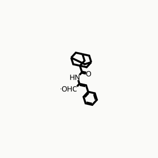 O=[C]C(=Cc1ccccc1)NC(=O)C12CC3CC(CC(C3)C1)C2